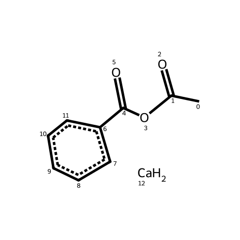 CC(=O)OC(=O)c1ccccc1.[CaH2]